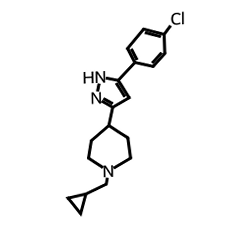 Clc1ccc(-c2cc(C3CCN(CC4CC4)CC3)n[nH]2)cc1